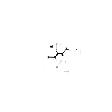 CCn1nc(C(C)C)c([N+](=O)[O-])c1C(C)C